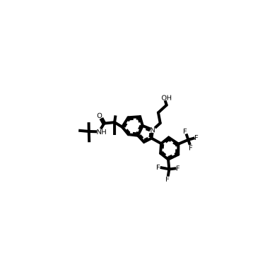 CC(C)(C)NC(=O)C(C)(C)c1ccc2c(c1)cc(-c1cc(C(F)(F)F)cc(C(F)(F)F)c1)n2CCCO